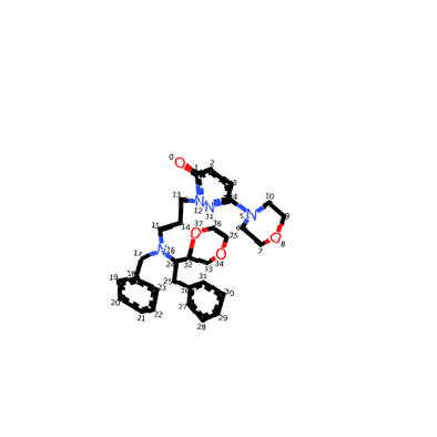 O=c1ccc(N2CCOCC2)nn1CCCN(Cc1ccccc1)C(Cc1ccccc1)C1COCCO1